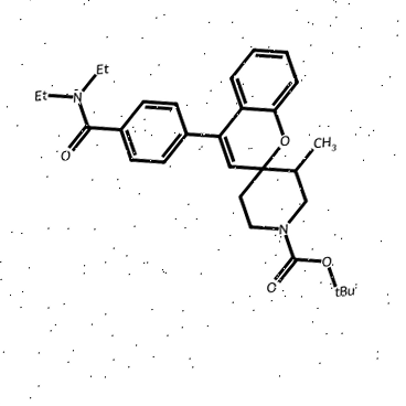 CCN(CC)C(=O)c1ccc(C2=CC3(CCN(C(=O)OC(C)(C)C)CC3C)Oc3ccccc32)cc1